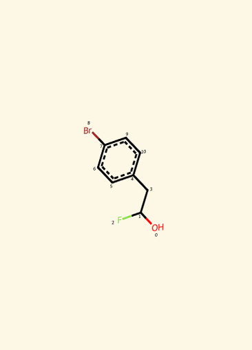 OC(F)Cc1ccc(Br)cc1